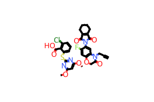 C#CCN1C(=O)COc2cc(F)c(N3C(=O)C4=C(CCCC4)C3=O)cc21.COc1cc(OC)nc(Sc2cccc(Cl)c2C(=O)O)n1